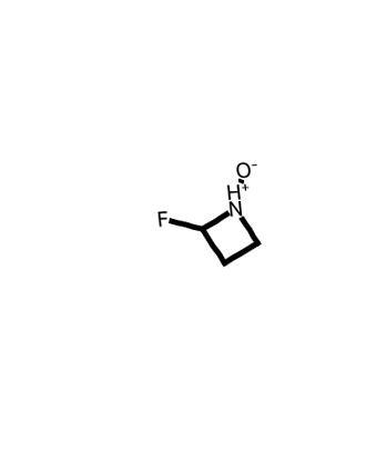 [O-][NH+]1CCC1F